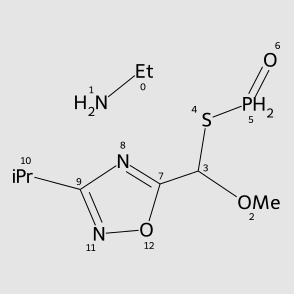 CCN.COC(S[PH2]=O)c1nc(C(C)C)no1